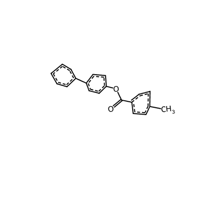 Cc1ccc(C(=O)Oc2ccc(-c3ccccc3)cc2)cc1